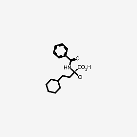 O=C(N[C@](Cl)(CCC1CCCCC1)C(=O)O)c1ccccc1